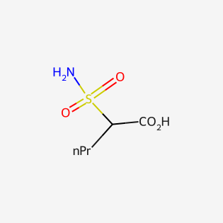 CCCC(C(=O)O)S(N)(=O)=O